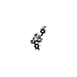 CCOCn1nnc(-c2ccc(F)cc2)c1-c1ccnc(NCc2ccc(OC)cc2)n1